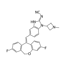 CN1CC(n2c(=NC#N)[nH]c3cc(C=C4c5ccc(F)cc5COc5cc(F)ccc54)ccc32)C1